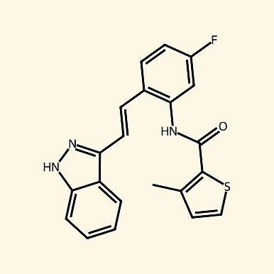 Cc1ccsc1C(=O)Nc1cc(F)ccc1C=Cc1n[nH]c2ccccc12